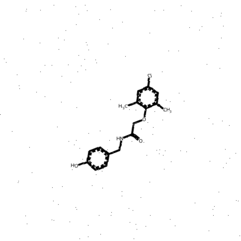 Cc1cc(Cl)cc(C)c1OCC(=O)NCc1ccc(O)cc1